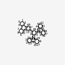 c1ccc2c(c1)c1ccccc1c1cc(-c3cc(-n4c5ccccc5c5ccccc54)cc(-n4c5ccccc5c5ccccc54)c3)ccc21